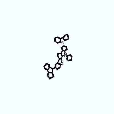 c1ccc(-n2c3ccc(-n4c5ccccc5c5ccccc54)cc3c3ccc4c5cc(C6c7ccccc7-c7ccccc76)ccc5sc4c32)cc1